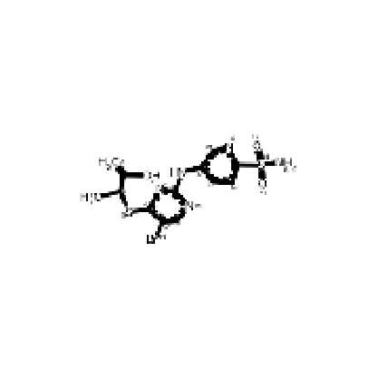 C=C(O)C(C)Sc1nc(Nc2ccc(S(N)(=O)=O)nc2)ncc1Br